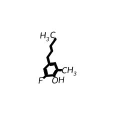 CCCCCc1cc(C)c(O)c(F)c1